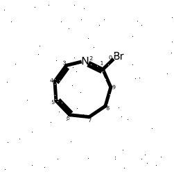 Br/C1=N/C=C\C=C/CCC1